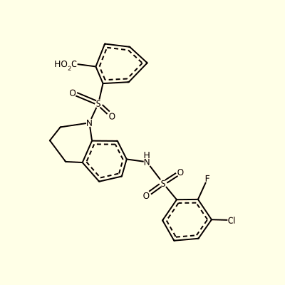 O=C(O)c1ccccc1S(=O)(=O)N1CCCc2ccc(NS(=O)(=O)c3cccc(Cl)c3F)cc21